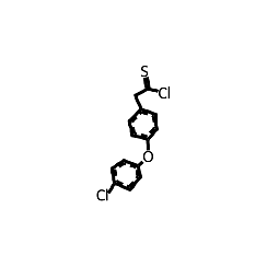 S=C(Cl)Cc1ccc(Oc2ccc(Cl)cc2)cc1